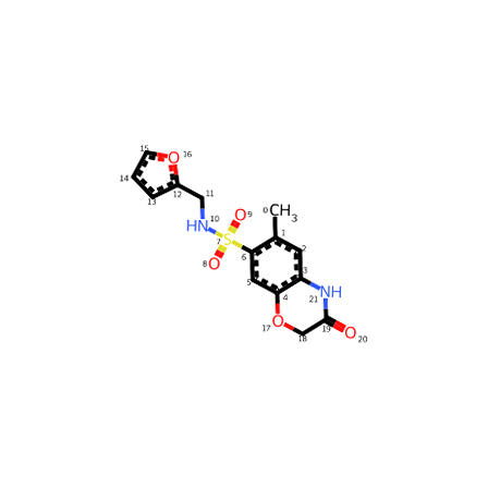 Cc1cc2c(cc1S(=O)(=O)NCc1ccco1)OCC(=O)N2